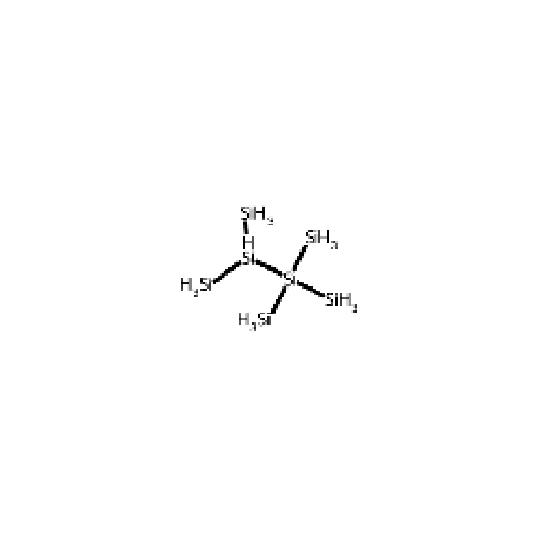 [SiH3][SiH]([SiH3])[Si]([SiH3])([SiH3])[SiH3]